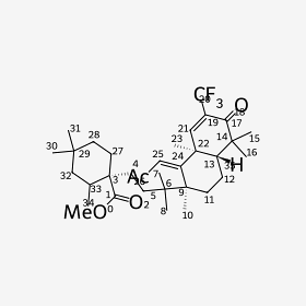 COC(=O)[C@]1(CCC(C)(C)[C@]2(C)CC[C@H]3C(C)(C)C(=O)C(C(F)(F)F)=C[C@]3(C)/C2=C/C(C)=O)CCC(C)(C)CC1C